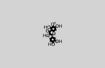 COc1c(O)cc2c(c1O)C(=O)[C@H](O)[C@@H](c1ccc(O)c(O)c1)O2